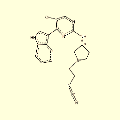 [N-]=[N+]=NCCN1CC[C@@H](Nc2ncc(Cl)c(-c3c[nH]c4ccccc34)n2)C1